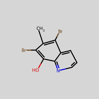 Cc1c(Br)c(O)c2ncccc2c1Br